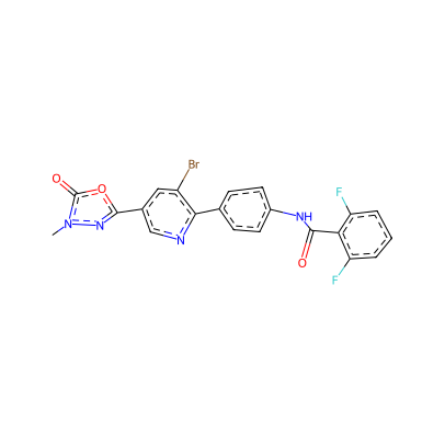 Cn1nc(-c2cnc(-c3ccc(NC(=O)c4c(F)cccc4F)cc3)c(Br)c2)oc1=O